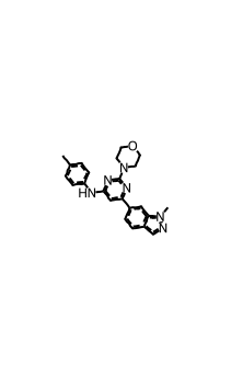 Cc1ccc(Nc2cc(-c3ccc4cnn(C)c4c3)nc(N3CCOCC3)n2)cc1